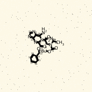 CCCCOC(=O)N(CC(=O)n1c(C(=O)OCc2ccccc2)nc2ncnc-2c1N)C(C)N